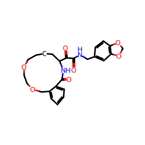 O=C(NCc1ccc2c(c1)OCO2)C(=O)C1CCCCOCCOCc2ccccc2C(=O)N1